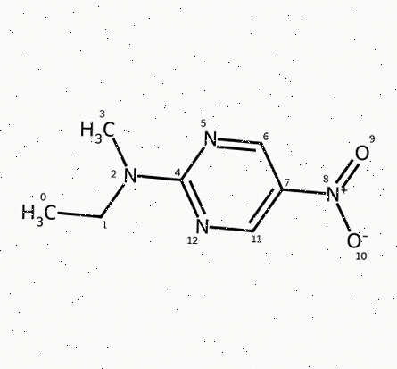 CCN(C)c1ncc([N+](=O)[O-])cn1